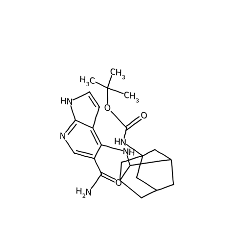 CC(C)(C)OC(=O)NC12CC3CC(C1)C(Nc1c(C(N)=O)cnc4[nH]ccc14)C(C3)C2